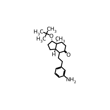 CC(C)(C)O[C@H]1CC[C@H]2C(CCc3cccc(N)c3)C(=O)CC[C@]12C